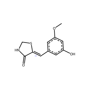 COc1cc(O)cc(/C=C2\SCNC2=O)c1